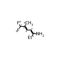 CC/C(N)=C\C=C(/C)C(F)F